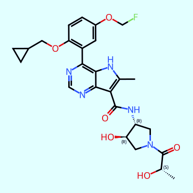 Cc1[nH]c2c(-c3cc(OCF)ccc3OCC3CC3)ncnc2c1C(=O)N[C@@H]1CN(C(=O)[C@H](C)O)C[C@H]1O